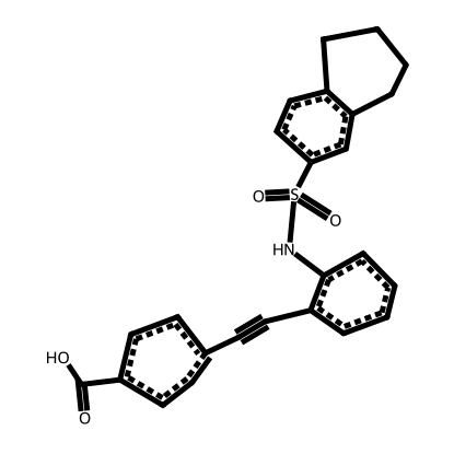 O=C(O)c1ccc(C#Cc2ccccc2NS(=O)(=O)c2ccc3c(c2)CCCC3)cc1